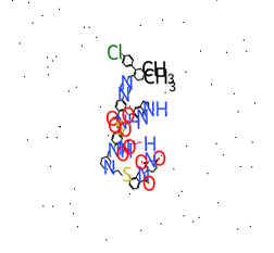 CC1(C)CCC(CN2CCN(c3ccc(C(=O)NS(=O)(=O)c4ccc(NCC5CCCN(CCCSc6cccc7c6CN(C6CCC(=O)NC6=O)C7=O)C5)c([N+](=O)[O-])c4)c(Oc4cnc5[nH]ccc5c4)c3)CC2)=C(c2ccc(Cl)cc2)C1